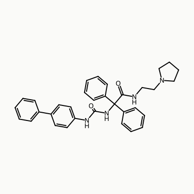 O=C(Nc1ccc(-c2ccccc2)cc1)NC(C(=O)NCCN1CCCC1)(c1ccccc1)c1ccccc1